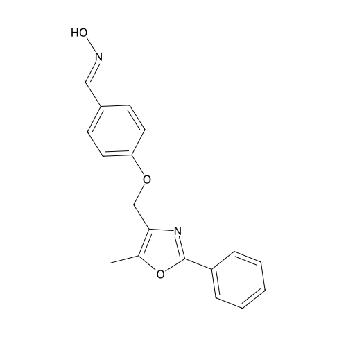 Cc1oc(-c2ccccc2)nc1COc1ccc(C=NO)cc1